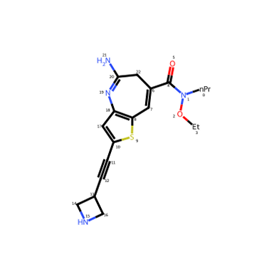 CCCN(OCC)C(=O)C1=Cc2sc(C#CC3CNC3)cc2N=C(N)C1